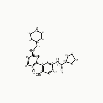 O=C(Nc1cc(-c2nc(NCC3CCOCC3)ccc2Cl)c(Cl)cn1)C1CCCC1